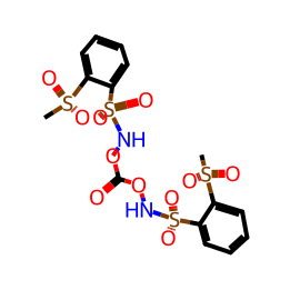 CS(=O)(=O)c1ccccc1S(=O)(=O)NOC(=O)ONS(=O)(=O)c1ccccc1S(C)(=O)=O